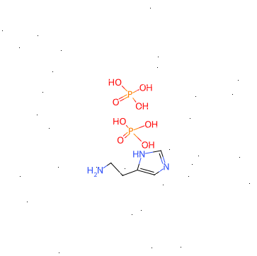 NCCc1cnc[nH]1.O=P(O)(O)O.O=P(O)(O)O